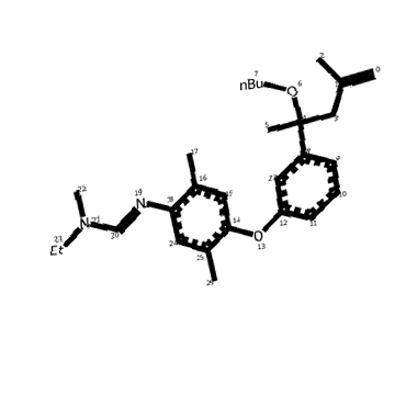 C=C(C)CC(C)(OCCCC)c1cccc(Oc2cc(C)c(N=CN(C)CC)cc2C)c1